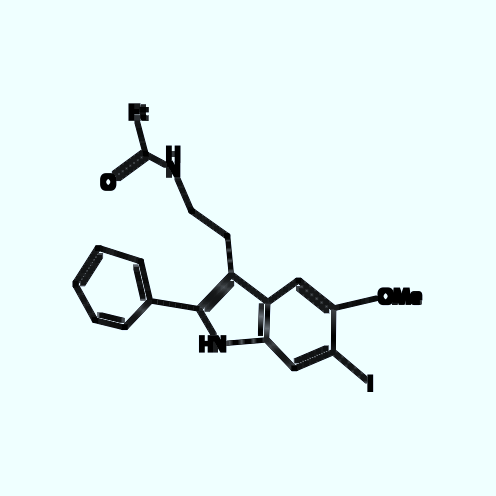 CCC(=O)NCCc1c(-c2ccccc2)[nH]c2cc(I)c(OC)cc12